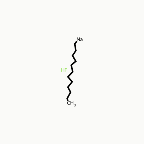 CCCCCCCCCCC[CH2][Na].F